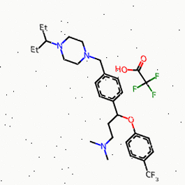 CCC(CC)N1CCN(Cc2ccc(C(CCN(C)C)Oc3ccc(C(F)(F)F)cc3)cc2)CC1.O=C(O)C(F)(F)F